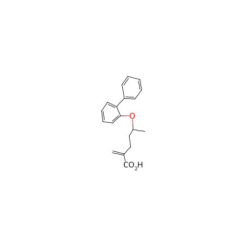 C=C(CCC(C)Oc1ccccc1-c1ccccc1)C(=O)O